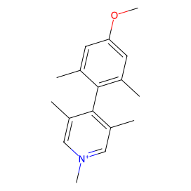 COc1cc(C)c(-c2c(C)c[n+](C)cc2C)c(C)c1